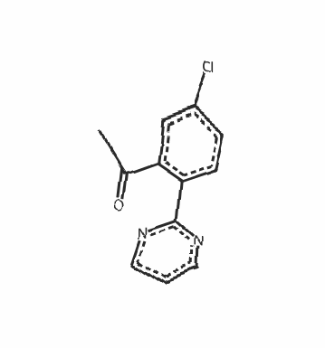 CC(=O)c1cc(Cl)ccc1-c1ncccn1